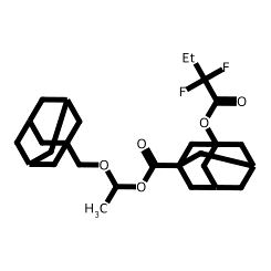 CCC(F)(F)C(=O)OC12CC3CC(C1)CC(C(=O)OC(C)OCC14CC5CC(CC(C5)C1)C4)(C3)C2